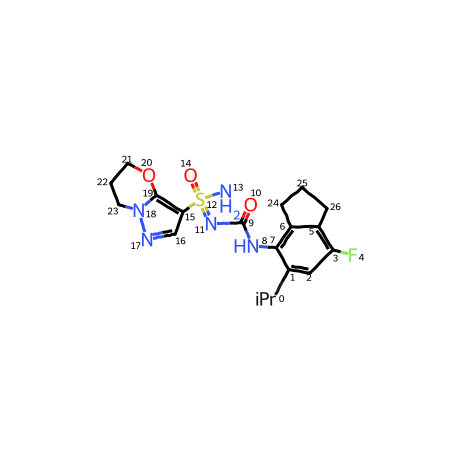 CC(C)c1cc(F)c2c(c1NC(=O)N=S(N)(=O)c1cnn3c1OCCC3)CCC2